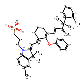 C=C(/C=C/C1=C(Oc2ccccc2)C(=C/C=C2/N(CCCS(=O)(=O)O)c3ccc(C)cc3C2(C)C)/CCC1)C(C)(C)c1ccccc1C